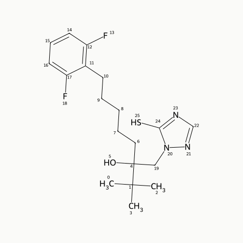 CC(C)(C)C(O)(CCCCCc1c(F)cccc1F)Cn1ncnc1S